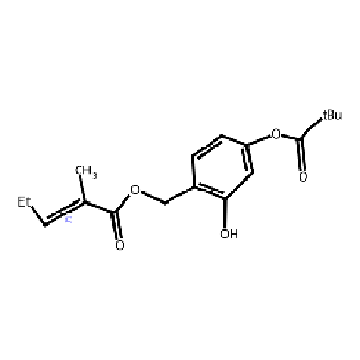 CC/C=C(\C)C(=O)OCc1ccc(OC(=O)C(C)(C)C)cc1O